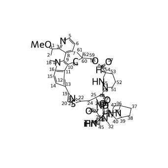 CO[C@@H](C)c1ncccc1-c1c2c3cc(ccc3n1C)-c1csc(n1)C[C@H](NC(=O)[C@H](C(C)C)N(C)C(=O)N1C3CCC1CN(C(=O)[C@H]1CN1)C3)C(=O)N1CCC[C@H](N1)C(=O)OCC(C)(C)C2